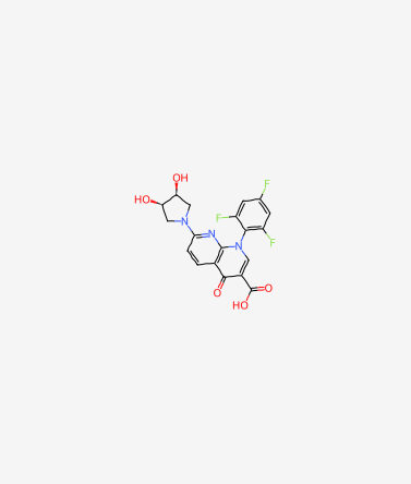 O=C(O)c1cn(-c2c(F)cc(F)cc2F)c2nc(N3C[C@@H](O)[C@@H](O)C3)ccc2c1=O